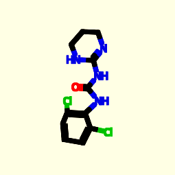 O=C(NC1=NCCCN1)Nc1c(Cl)cccc1Cl